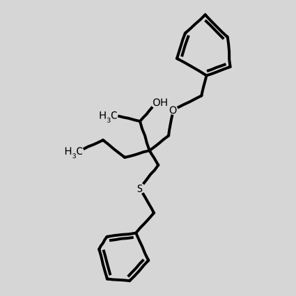 CCCC(COCc1ccccc1)(CSCc1ccccc1)C(C)O